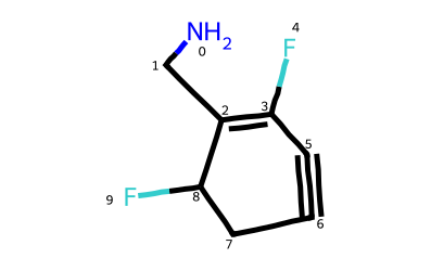 NCC1=C(F)C#CCC1F